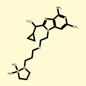 Cc1cc2c(nc(C(C)C3CC3)n2CCOCCCN2CCCS2(O)O)c(N)n1